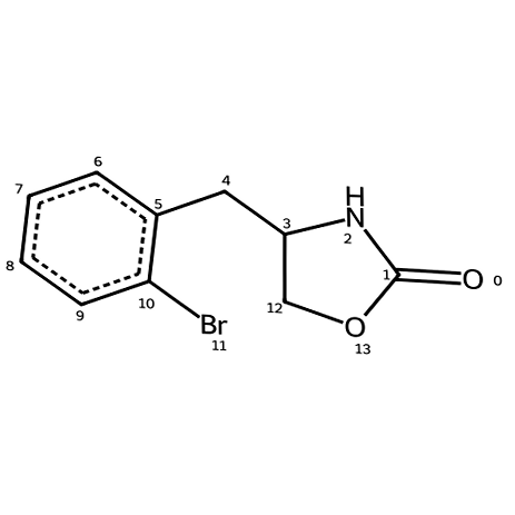 O=C1NC(Cc2ccccc2Br)CO1